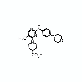 Cc1cnc(Nc2ccc(N3CCOCC3)cc2)nc1N1CCC(C(=O)O)CC1